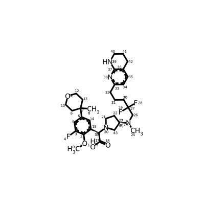 COc1c(F)cc(C2(C)CCOCC2)cc1[C@H](C(=O)O)N1CC[C@@H](N(C)CC(F)(F)CCCc2ccc3c(n2)NCCC3)C1